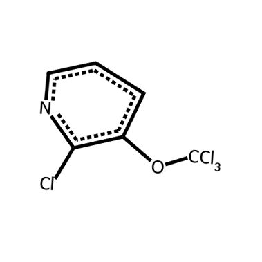 Clc1ncccc1OC(Cl)(Cl)Cl